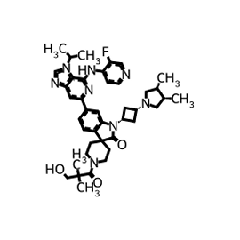 CC(C)n1cnc2cc(-c3ccc4c(c3)N([C@H]3C[C@@H](N5C[C@@H](C)[C@@H](C)C5)C3)C(=O)C43CCN(C(=O)C(C)(C)CO)CC3)nc(Nc3ccncc3F)c21